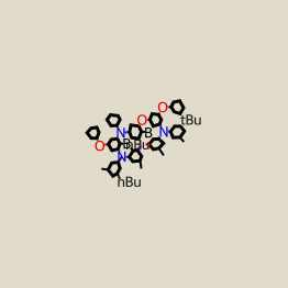 CCCCc1cc(C)cc(N2c3cc(C)cc(I)c3B3c4cc5c(cc4N(c4ccccc4)c4cc(Oc6ccccc6)cc2c43)Oc2cc(Oc3ccccc3)cc3c2B5c2c(CCCC)cc(C)cc2N3c2cc(C)cc(C(C)(C)C)c2)c1